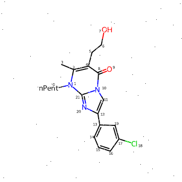 CCCCCn1c(C)c(CCO)c(=O)n2cc(-c3cccc(Cl)c3)nc12